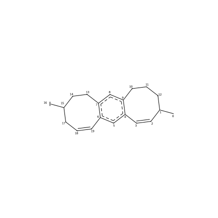 CC1/C=C\c2cc3c(cc2CCC1)CCC(I)C/C=C\3